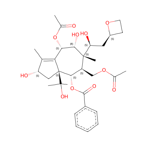 CC(=O)OC[C@H]1[C@H](OC(=O)c2ccccc2)[C@]2(C(C)(C)O)C[C@H](O)C(C)=C2[C@H](OC(C)=O)[C@H](O)[C@]1(C)[C@@H](O)C[C@@H]1CCO1